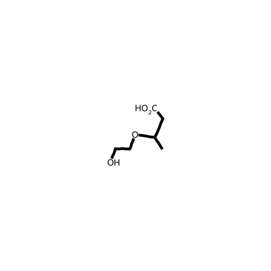 CC(CC(=O)O)OCCO